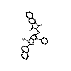 Cn1c(-c2ccc3ccccc3c2)nc2c1cc(C=C1C(=O)c3cc4ccccc4cc3C1=O)n2-c1ccccc1